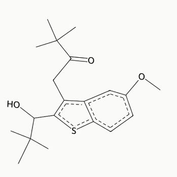 COc1ccc2sc(C(O)C(C)(C)C)c(CC(=O)C(C)(C)C)c2c1